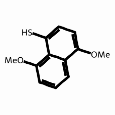 COc1ccc(S)c2c(OC)cccc12